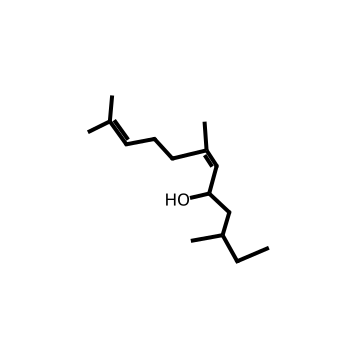 CCC(C)CC(O)C=C(C)CCC=C(C)C